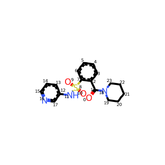 O=C(c1ccccc1S(=O)(=O)Nc1cccnc1)N1CCCCC1